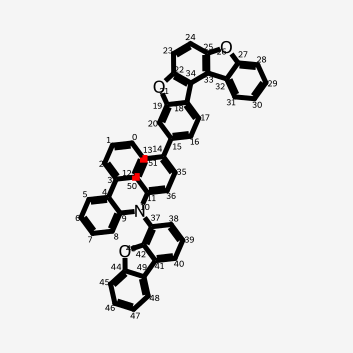 c1ccc(-c2ccccc2N(c2ccc(-c3ccc4c(c3)oc3ccc5oc6ccccc6c5c34)cc2)c2cccc3c2oc2ccccc23)cc1